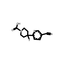 N#Cc1ccc(C2(F)CCN(C(=O)O)CC2)nc1